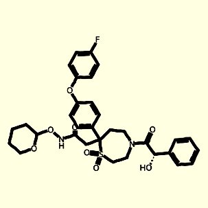 O=C(CC1(c2ccc(Oc3ccc(F)cc3)cc2)CCN(C(=O)[C@@H](O)c2ccccc2)CCS1(=O)=O)NOC1CCCCO1